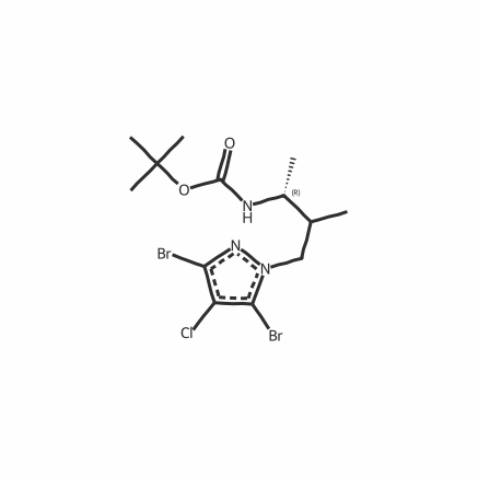 CC(Cn1nc(Br)c(Cl)c1Br)[C@@H](C)NC(=O)OC(C)(C)C